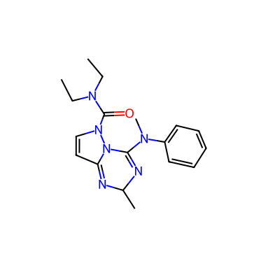 CCN(CC)C(=O)N1C=CC2=NC(C)N=C(N(C)c3ccccc3)N21